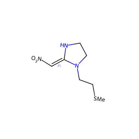 CSCCN1CCN/C1=C\[N+](=O)[O-]